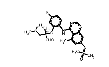 Cc1cc(N=S(C)(C)=O)cc2ncnc(Nc3ccc(F)cc3O[C@](C)(C=O)CN(C)C)c12